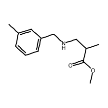 COC(=O)C(C)CNCc1cccc(C)c1